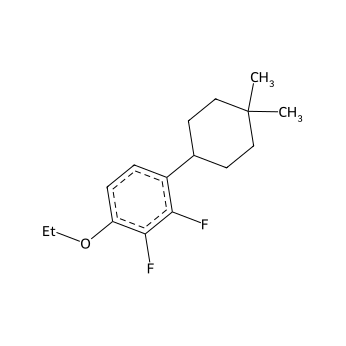 CCOc1ccc(C2CCC(C)(C)CC2)c(F)c1F